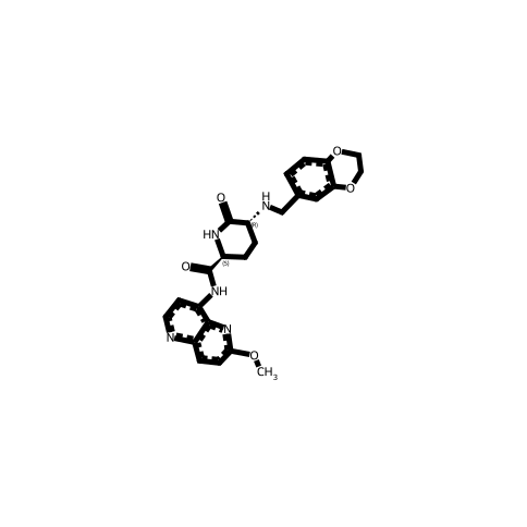 COc1ccc2nccc(NC(=O)[C@@H]3CC[C@@H](NCc4ccc5c(c4)OCCO5)C(=O)N3)c2n1